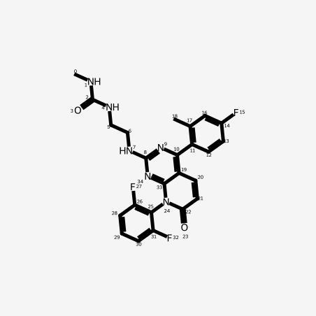 CNC(=O)NCCNc1nc(-c2ccc(F)cc2C)c2ccc(=O)n(-c3c(F)cccc3F)c2n1